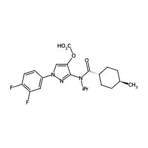 CC(C)N(c1nn(-c2ccc(F)c(F)c2)cc1OC(=O)O)C(=O)[C@H]1CC[C@H](C)CC1